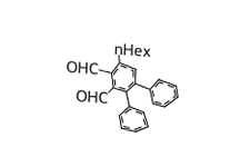 CCCCCCc1cc(-c2ccccc2)c(-c2ccccc2)c(C=O)c1C=O